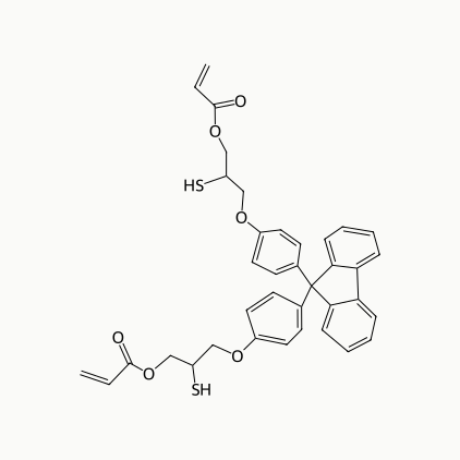 C=CC(=O)OCC(S)COc1ccc(C2(c3ccc(OCC(S)COC(=O)C=C)cc3)c3ccccc3-c3ccccc32)cc1